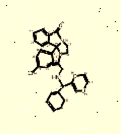 O=C(CNC(C1=CC=CCC1)C1=COC=CO1)N1CCN2C(=O)c3ccccc3C12c1ccc(Cl)cc1